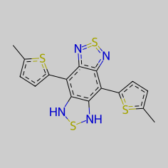 Cc1ccc(-c2c3c(c(-c4ccc(C)s4)c4nsnc24)NSN3)s1